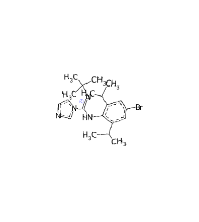 CC(C)c1cc(Br)cc(C(C)C)c1N/C(=N/C(C)(C)C)n1ccnc1